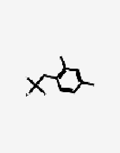 Cc1cc(I)ccc1CC(F)(F)F